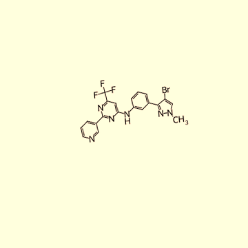 Cn1cc(Br)c(-c2cccc(Nc3cc(C(F)(F)F)nc(-c4cccnc4)n3)c2)n1